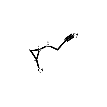 C#CCON1CC1C#N